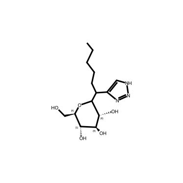 CCCCCC(c1c[nH]nn1)C1O[C@H](CO)[C@@H](O)[C@H](O)[C@H]1O